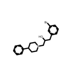 OC(Cc1cccc(Br)c1)CN1CCC(c2ccccc2)CC1